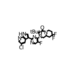 CC(C)(C)OC(=O)N1CCC(F)(F)CC1CNc1nc(-c2c[nH]c3ncc(Cl)cc23)ncc1F